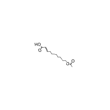 CC(=O)OCCCCCCC/C=C/C(=O)O